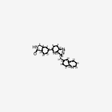 O=C1NCc2cc(-c3ccc4nnn(Cc5ccc6ncccc6c5)c4n3)ccc21